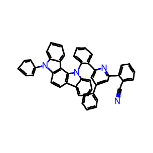 N#Cc1ccccc1-c1cc(-c2ccccc2)cc(-c2ccccc2-n2c3ccccc3c3ccc4c(c5ccccc5n4-c4ccccc4)c32)n1